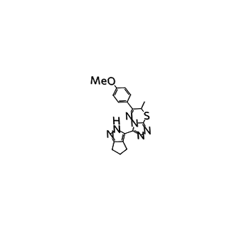 COc1ccc(C2=Nn3c(nnc3-c3[nH]nc4c3CCC4)SC2C)cc1